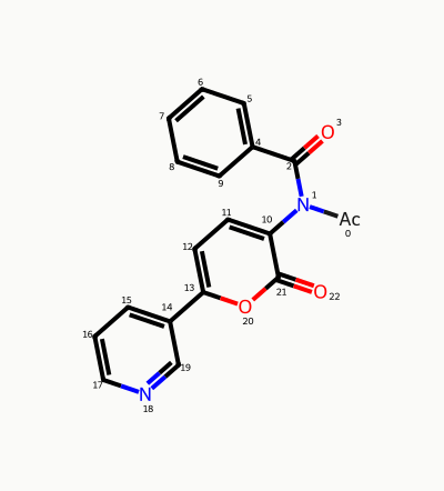 CC(=O)N(C(=O)c1ccccc1)c1ccc(-c2cccnc2)oc1=O